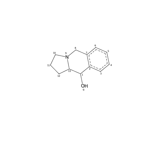 OC1c2ccccc2CN2CCCC12